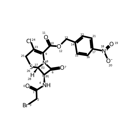 O=C(CBr)N[C@@H]1C(=O)N2C(C(=O)OCc3ccc([N+](=O)[O-])cc3)=C(Cl)CS[C@@H]12